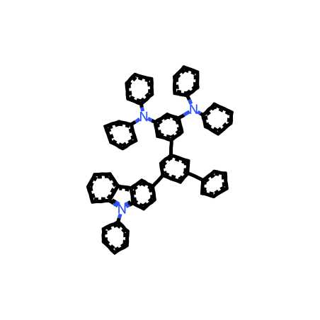 c1ccc(-c2cc(-c3cc(N(c4ccccc4)c4ccccc4)cc(N(c4ccccc4)c4ccccc4)c3)cc(-c3ccc4c(c3)c3ccccc3n4-c3ccccc3)c2)cc1